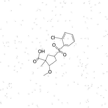 COC1CC(S(=O)(=O)c2ccccc2Cl)CC1(C)C(=O)O